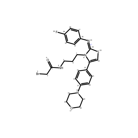 O=C(CBr)NCCCn1c(-c2ccc(N3CCOCC3)cc2)cs/c1=N/c1ccc(F)cc1